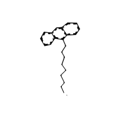 OCCCCCCCCc1c2ccccc2cc2ccccc12